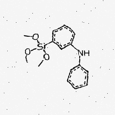 CO[Si](OC)(OC)c1cccc(Nc2ccccc2)c1